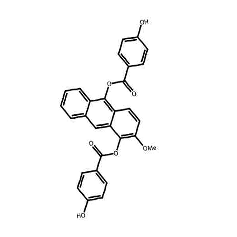 COc1ccc2c(OC(=O)c3ccc(O)cc3)c3ccccc3cc2c1OC(=O)c1ccc(O)cc1